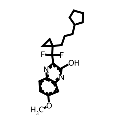 COc1ccc2nc(C(F)(F)C3(CCCC4CCCC4)CC3)c(O)nc2c1